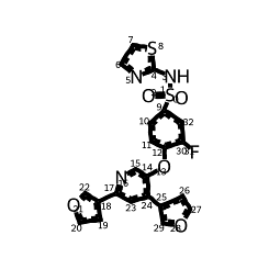 O=S(=O)(Nc1nccs1)c1ccc(Oc2cnc(-c3ccoc3)cc2-c2ccoc2)c(F)c1